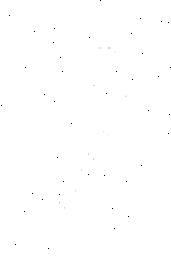 CC(CCCCOc1cc([N+](=O)[O-])ccc1N1CCN(C)CC1)O[Si](c1ccccc1)(c1ccccc1)C(C)(C)C